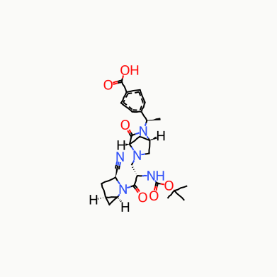 C[C@H](c1ccc(C(=O)O)cc1)N1C(=O)[C@@H]2C[C@H]1CN2C[C@H](NC(=O)OC(C)(C)C)C(=O)N1[C@H](C#N)C[C@@H]2C[C@@H]21